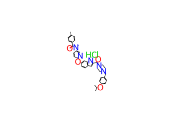 Cc1ccc(C(=O)N(C)c2ccc(Oc3ccc4cc(C(=O)N5CCN(Cc6ccc(OC(C)C)cc6)CC5)n(C)c4c3)nc2)cc1.Cl